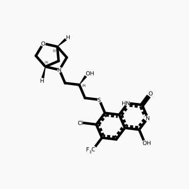 O=c1nc(O)c2cc(C(F)(F)F)c(Cl)c(SC[C@H](O)CN3C[C@@H]4C[C@H]3CO4)c2[nH]1